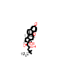 C[C@@H]1C[C@H]2[C@@H]3CCC4=CC(=O)C=C[C@]4(C)[C@@]34O[C@H]4C[C@]2(C)[C@@]1(O)C(=O)C(O)CC(C)(C)C(=O)O